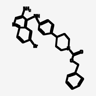 Nc1cnc2ccc(Br)cc2c1Nc1ccc(C2CCN(C(=O)OCc3ccccc3)CC2)cc1